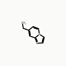 CCc1ccn2c[c]nc2c1